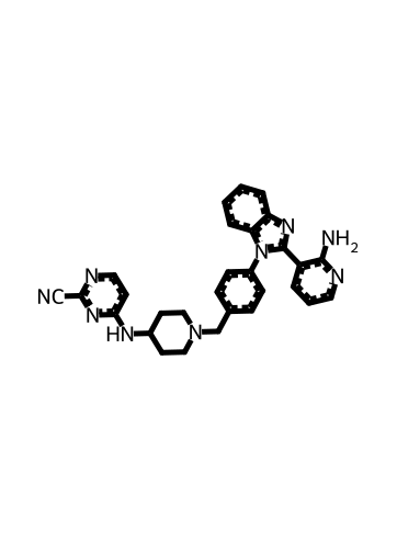 N#Cc1nccc(NC2CCN(Cc3ccc(-n4c(-c5cccnc5N)nc5ccccc54)cc3)CC2)n1